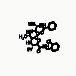 CC(C)[C@H](NC(=O)[C@H](C)NC(=O)[C@@H](NC(=O)c1ccccc1)C(C)(C)C)C(=O)C(=O)NCc1ccccc1Cl